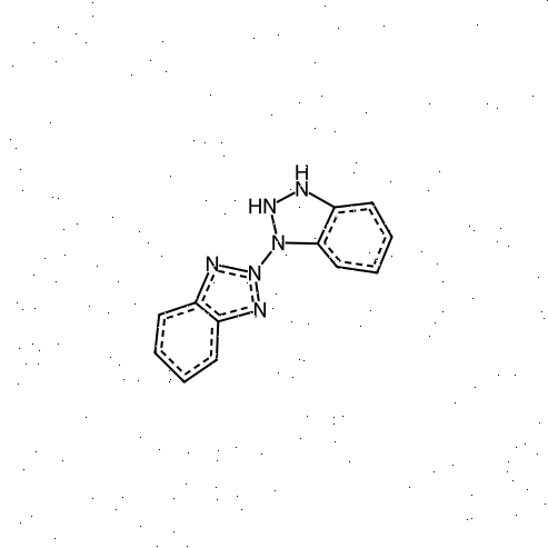 c1ccc2c(c1)NNN2n1nc2ccccc2n1